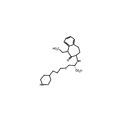 O=C(O)CN1C(=O)C(N[C@@H](CSCCCC2CCNCC2)C(=O)O)CCc2ccccc21